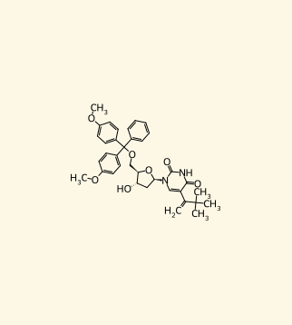 C=C(c1cn([C@H]2C[C@H](O)[C@@H](COC(c3ccccc3)(c3ccc(OC)cc3)c3ccc(OC)cc3)O2)c(=O)[nH]c1=O)C(C)(C)C